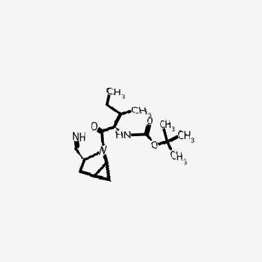 CCC(C)[C@H](NC(=O)OC(C)(C)C)C(=O)N1C2CC2C[C@H]1C=N